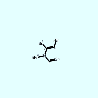 CCCN(C=S)C(Br)=CBr